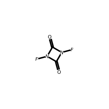 O=C1N(F)C(=O)N1F